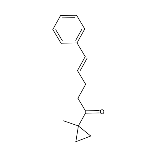 CC1(C(=O)CC/C=C/c2ccccc2)CC1